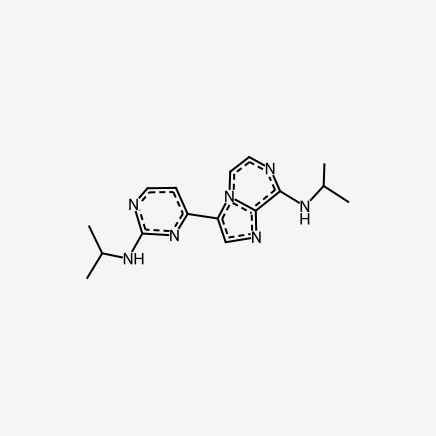 CC(C)Nc1nccc(-c2cnc3c(NC(C)C)nccn23)n1